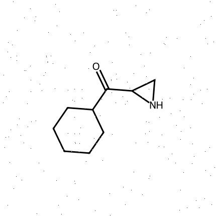 O=C(C1CCCCC1)C1CN1